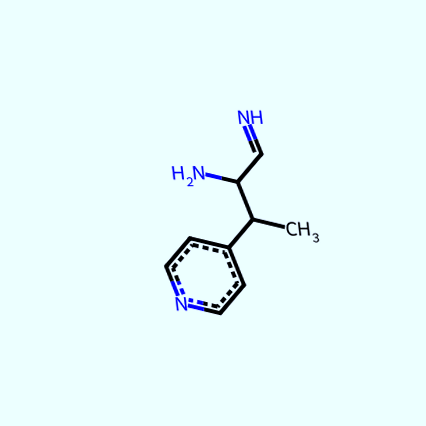 CC(c1ccncc1)C(N)C=N